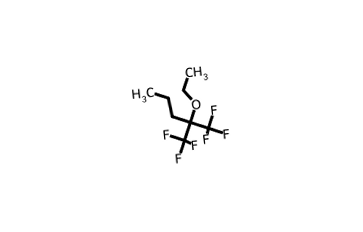 CCCC(OCC)(C(F)(F)F)C(F)(F)F